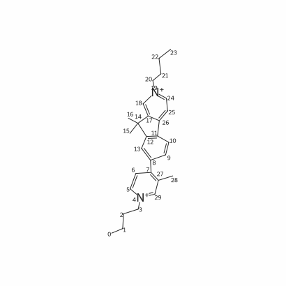 CCCC[n+]1ccc(-c2ccc3c(c2)C(C)(C)c2c[n+](CCCC)ccc2-3)c(C)c1